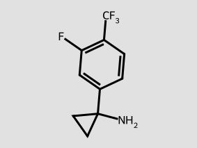 NC1(c2ccc(C(F)(F)F)c(F)c2)CC1